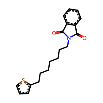 O=C1c2ccccc2C(=O)N1CCCCCCCc1cccs1